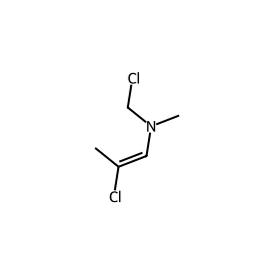 C/C(Cl)=C\N(C)CCl